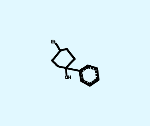 CCC1CCC(O)(c2ccccc2)CC1